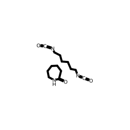 O=C1CCCCCN1.O=C=NCCCCCCN=C=O